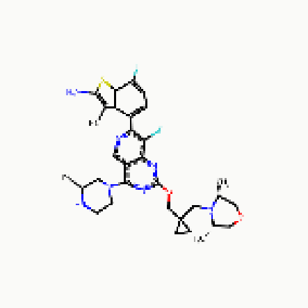 CCC1CN(c2nc(OCC3(CN4[C@@H](C)COC[C@@H]4C)CC3)nc3c(F)c(C4=CC=C(F)C5SC(N)=C(C#N)C45)ncc23)CCN1